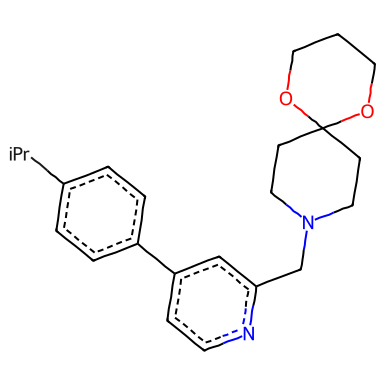 CC(C)c1ccc(-c2ccnc(CN3CCC4(CC3)OCCCO4)c2)cc1